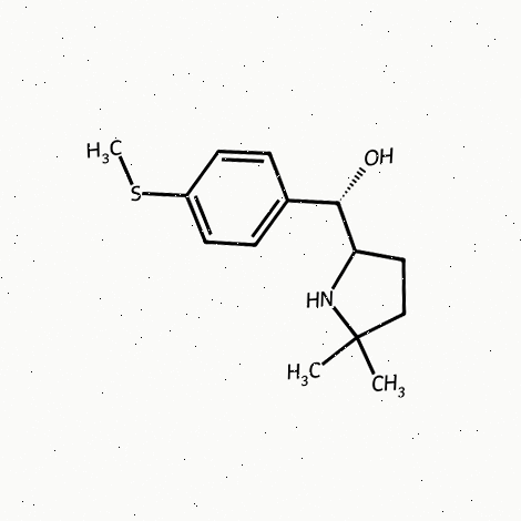 CSc1ccc([C@H](O)C2CCC(C)(C)N2)cc1